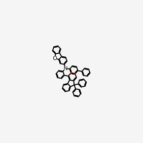 c1ccc(-c2ccc(N(c3ccc4c(c3)oc3ccccc34)c3ccccc3-c3cccc4c3-c3ccccc3C4(c3ccccc3)c3ccccc3)cc2)cc1